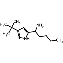 CCCCC(N)c1cc(C(C)(C)C)n[nH]1